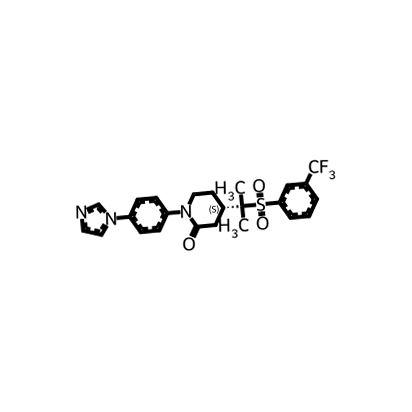 CC(C)([C@H]1CCN(c2ccc(-n3ccnc3)cc2)C(=O)C1)S(=O)(=O)c1cccc(C(F)(F)F)c1